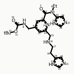 CCN(C(=O)c1cc(CNC(=O)OC(C)(C)C)cc(CNCCc2cnc[nH]2)n1)c1cnc[nH]1